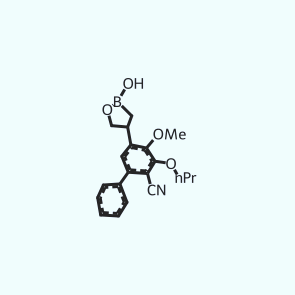 CCCOc1c(C#N)c(-c2ccccc2)cc(C2COB(O)C2)c1OC